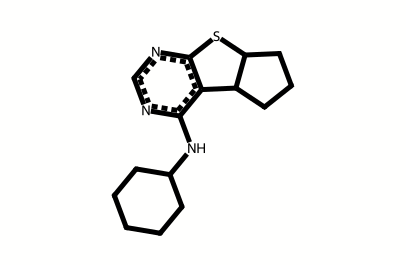 c1nc(NC2CCCCC2)c2c(n1)SC1CCCC21